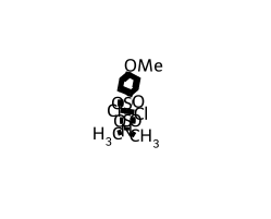 COc1ccc(S(=O)(=O)C(Cl)(Cl)S(=O)(=O)N(C)C)cc1